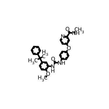 CNC(=O)c1cc(Oc2ccc(NC(=O)Nc3cc(C(C)(C)c4ccccc4)ccc3OC)cc2)ccn1